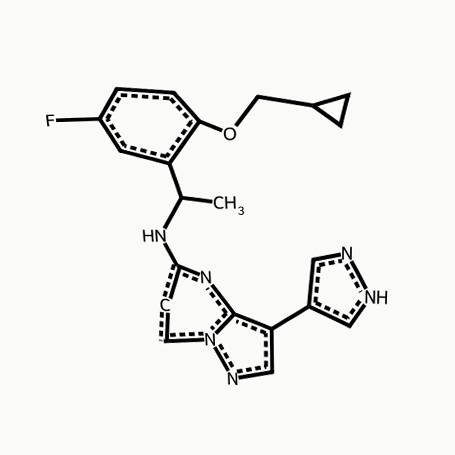 CC(Nc1ccn2ncc(-c3cn[nH]c3)c2n1)c1cc(F)ccc1OCC1CC1